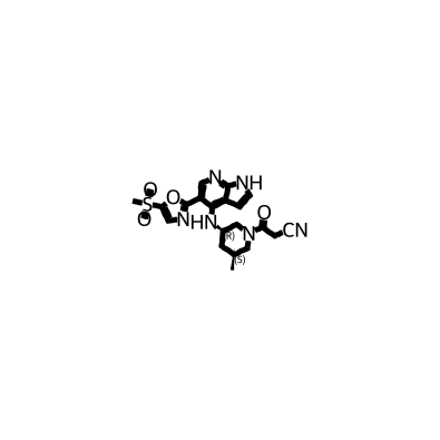 C[C@H]1C[C@@H](Nc2c(-c3ncc(S(C)(=O)=O)o3)cnc3[nH]ccc23)CN(C(=O)CC#N)C1